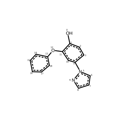 Oc1ccc(-n2cccn2)cc1Oc1ccccc1